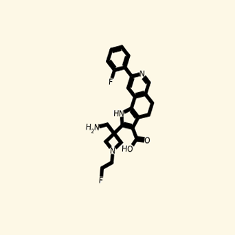 NCC1(c2[nH]c3c(c2C(=O)O)CCc2cnc(-c4ccccc4F)cc2-3)CN(CCF)C1